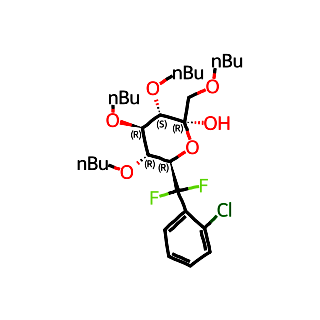 CCCCOC[C@@]1(O)O[C@@H](C(F)(F)c2ccccc2Cl)[C@H](OCCCC)[C@@H](OCCCC)[C@@H]1OCCCC